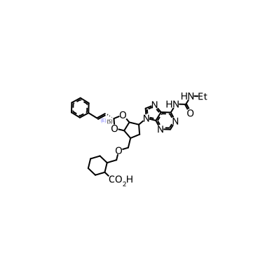 CCNC(=O)Nc1ncnc2c1ncn2C1CC(COCC2CCCCC2C(=O)O)C2O[C@H](/C=C/c3ccccc3)OC21